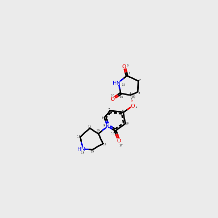 O=C1CC[C@H](Oc2ccn(C3CCNCC3)c(=O)c2)C(=O)N1